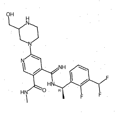 CNC(=O)c1cnc(N2CCNC(CO)C2)cc1C(=N)N[C@H](C)c1cccc(C(F)F)c1F